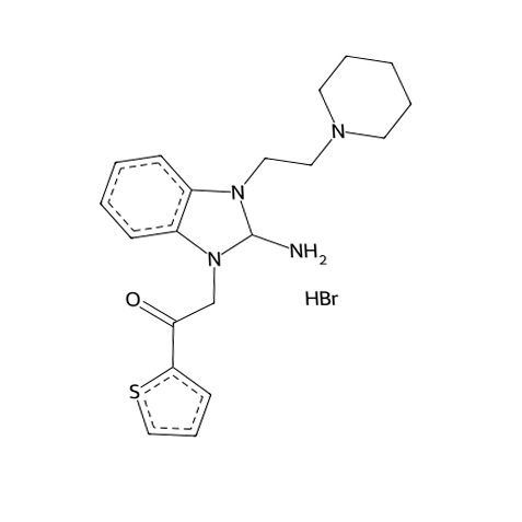 Br.NC1N(CCN2CCCCC2)c2ccccc2N1CC(=O)c1cccs1